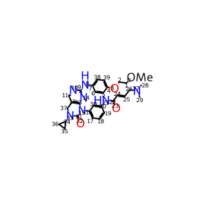 COCCOc1ccc(Nc2ncc3c(n2)N(c2cccc(NC(=O)/C=C/CN(C)C)c2)C(=O)N(C2CC2)C3)cc1